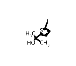 CC(C)(O)c1ccc(I)s1